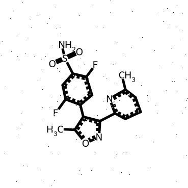 Cc1cccc(-c2noc(C)c2-c2cc(F)c(S(N)(=O)=O)cc2F)n1